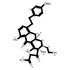 COc1ccc(CCc2ccc(O)c3c2C[C@H]2C[C@@H](CCO)[C@@](O)(C(=O)CC(N)=O)C(O)=C2C3=O)cc1